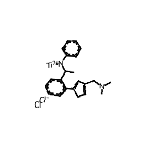 CC(c1ccccc1C1=CC(CN(C)C)=CC1)[N]([Ti+2])c1ccccc1.[Cl-].[Cl-]